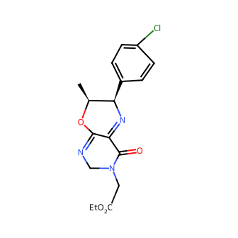 CCOC(=O)CN1CN=C2O[C@@H](C)[C@@H](c3ccc(Cl)cc3)N=C2C1=O